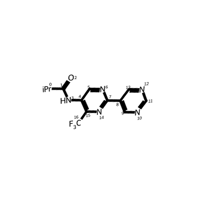 CC(C)C(=O)Nc1cnc(-c2cncnc2)nc1C(F)(F)F